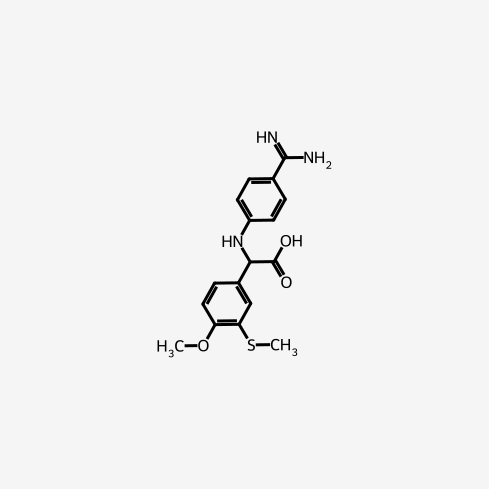 COc1ccc(C(Nc2ccc(C(=N)N)cc2)C(=O)O)cc1SC